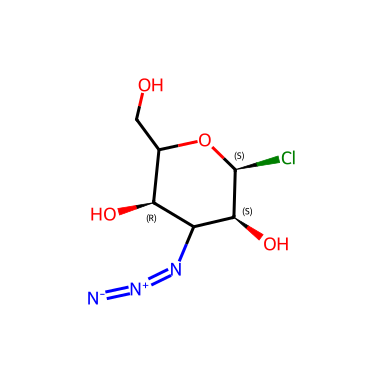 [N-]=[N+]=NC1[C@@H](O)C(CO)O[C@@H](Cl)[C@H]1O